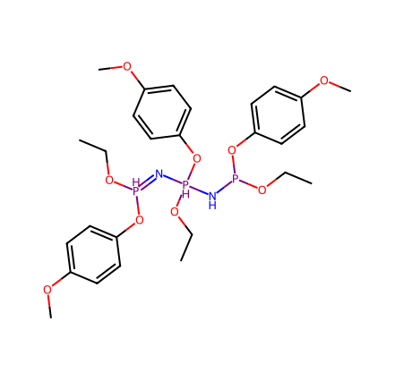 CCOP(N[PH](/N=[PH](/OCC)Oc1ccc(OC)cc1)(OCC)Oc1ccc(OC)cc1)Oc1ccc(OC)cc1